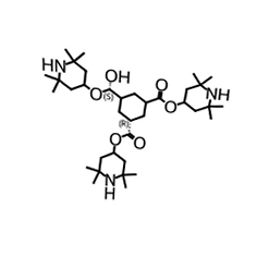 CC1(C)CC(OC(=O)C2CC([C@@H](O)OC3CC(C)(C)NC(C)(C)C3)C[C@@H](C(=O)OC3CC(C)(C)NC(C)(C)C3)C2)CC(C)(C)N1